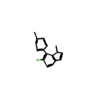 Cc1ccc(-c2c(Br)ccc3c2C(C)C=C3)cc1